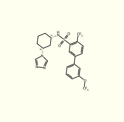 O=S(=O)(N[C@H]1CCC[C@@H](n2cnnc2)C1)c1cc(-c2cccc(OC(F)(F)F)c2)ccc1C(F)(F)F